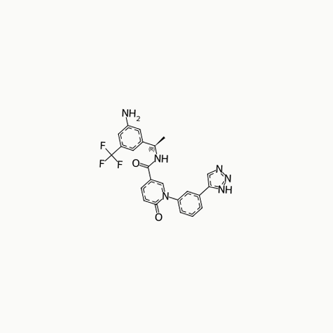 C[C@@H](NC(=O)c1ccc(=O)n(-c2cccc(-c3cnn[nH]3)c2)c1)c1cc(N)cc(C(F)(F)F)c1